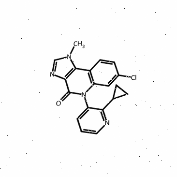 Cn1cnc2c(=O)n(-c3cccnc3C3CC3)c3cc(Cl)ccc3c21